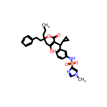 CCCC1(CCc2ccccc2)CC(O)=C(C(c2cccc(NS(=O)(=O)c3cn(C)cn3)c2)C2CC2)C(=O)O1